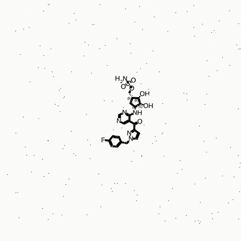 NS(=O)(=O)OC[C@H]1C[C@@H](Nc2ncncc2C(=O)c2ccn(Cc3ccc(F)cc3)n2)[C@H](O)[C@@H]1O